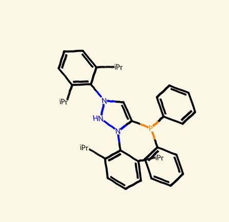 CC(C)c1cccc(C(C)C)c1N1C=C(P(c2ccccc2)c2ccccc2)N(c2c(C(C)C)cccc2C(C)C)N1